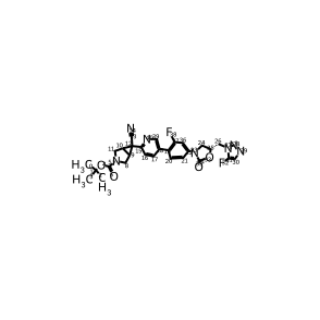 CC(C)(C)OC(=O)N1CC2C(C1)C2(C#N)c1ccc(-c2ccc(N3C[C@H](Cn4nncc4F)OC3=O)cc2F)cn1